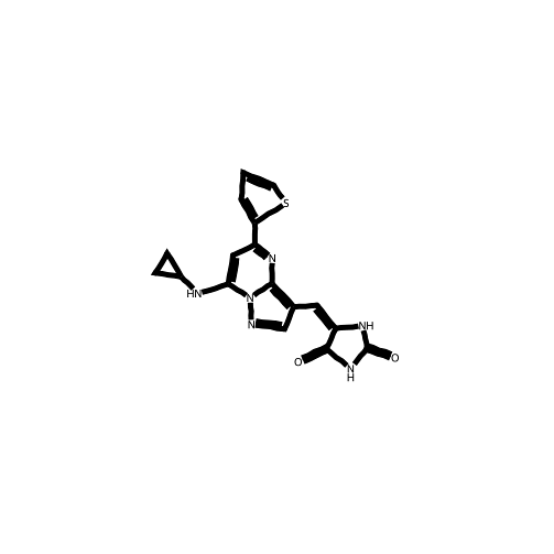 O=C1NC(=O)/C(=C\c2cnn3c(NC4CC4)cc(-c4cccs4)nc23)N1